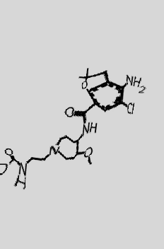 COC1CN(CCNC(=O)O)CCC1NC(=O)c1cc(Cl)c(N)c2c1OC(C)(C)C2